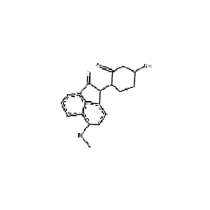 CNc1ccc2c3c(cccc13)C(=O)C2C1CCC(O)CC1=O